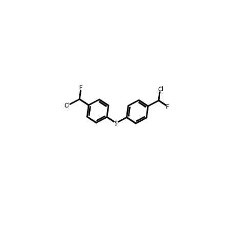 FC(Cl)c1ccc(Sc2ccc(C(F)Cl)cc2)cc1